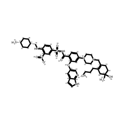 CCCCC1=C(CN2CCN(c3ccc(C(=O)NS(=O)(=O)c4ccc(NC[C@H]5CC[C@@H](C)CC5)c([N+](=O)[O-])c4)c(Oc4cnc5[nH]ccc5c4)c3)CC2)CCC(C)(C)C1